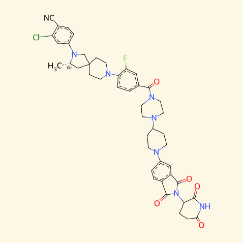 C[C@H]1CC2(CCN(c3ccc(C(=O)N4CCN(C5CCN(c6ccc7c(c6)C(=O)N(C6CCC(=O)NC6=O)C7=O)CC5)CC4)cc3F)CC2)CN1c1ccc(C#N)c(Cl)c1